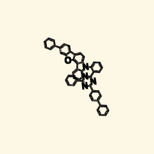 c1ccc(-c2ccc(-c3nc(-c4ccccc4)nc(-c4ccccc4-n4c5ccccc5c5c6oc7cc(-c8ccccc8)ccc7c6ccc54)n3)cc2)cc1